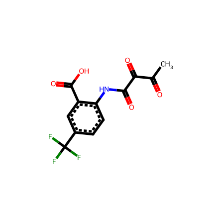 CC(=O)C(=O)C(=O)Nc1ccc(C(F)(F)F)cc1C(=O)O